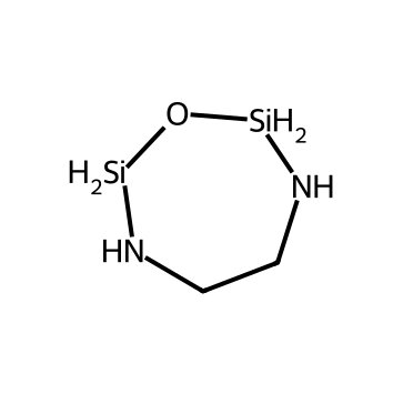 C1CN[SiH2]O[SiH2]N1